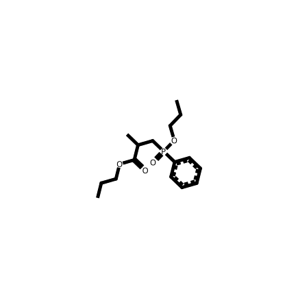 CCCOC(=O)C(C)CP(=O)(OCCC)c1ccccc1